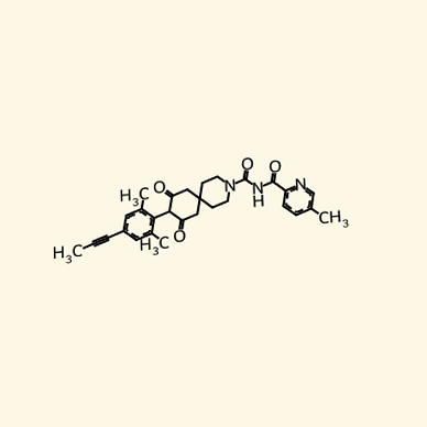 CC#Cc1cc(C)c(C2C(=O)CC3(CCN(C(=O)NC(=O)c4ccc(C)cn4)CC3)CC2=O)c(C)c1